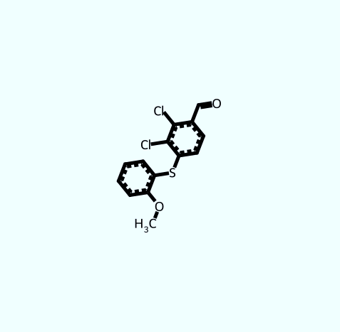 COc1ccccc1Sc1ccc(C=O)c(Cl)c1Cl